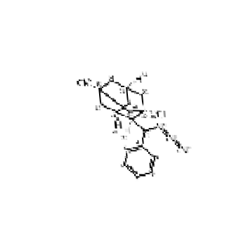 [N-]=[N+]=NC(c1ccccc1)[C@H]1[C@H]2C[C@H]3C[C@](Cl)(C2)C[C@@]1(Cl)C3